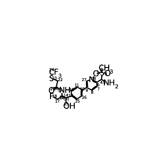 CS(=O)(=O)C(N)c1ccc(-c2ccc([C@@H](O)[C@@H](CF)NC(=O)CSC(F)(F)F)cc2)cn1